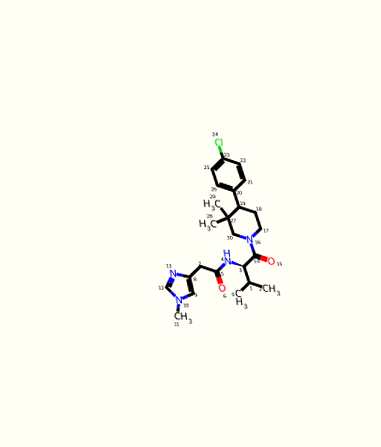 CC(C)[C@@H](NC(=O)Cc1cn(C)cn1)C(=O)N1CCC(c2ccc(Cl)cc2)C(C)(C)C1